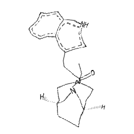 CN1C[C@H]2CC[C@@H](C1)N2C(=O)Cc1c[nH]c2ccccc12